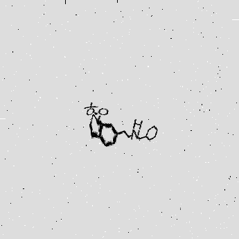 CC(C)(C)OC(=O)n1ccc2ccc(CCNCC3CCCCC3)cc21